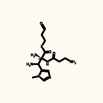 Cn1cncc1C(N)[C@](N)(NC(=O)CCN)C(=O)SCCC=O